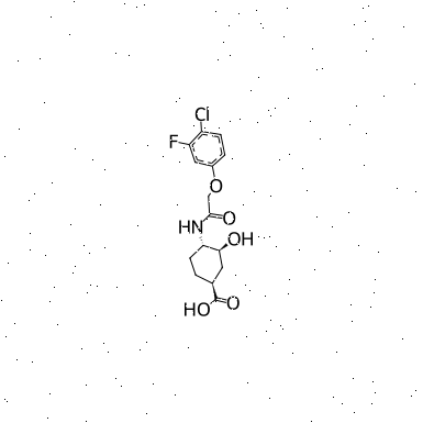 O=C(COc1ccc(Cl)c(F)c1)N[C@H]1CC[C@H](C(=O)O)C[C@@H]1O